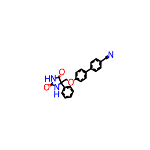 N#Cc1ccc(-c2ccc(OCC3(c4ccccc4)NC(=O)NC3=O)cc2)cc1